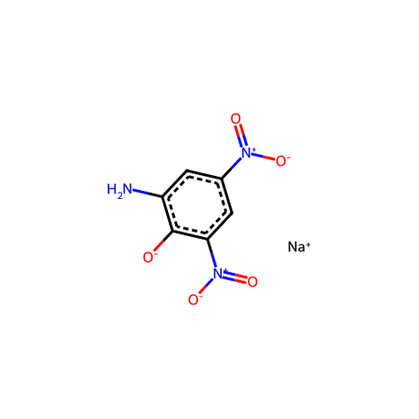 Nc1cc([N+](=O)[O-])cc([N+](=O)[O-])c1[O-].[Na+]